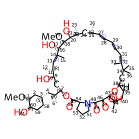 CO[C@@H]1C[C@H](C[C@@H](C)[C@@H]2CC(O)[C@H](C)/C=C(\C)[C@H](O)[C@@H](OC)C(O)[C@H](C)C[C@H](C)/C=C/C=C/C=C(\C)C(C)(C)C[C@@H]3CC[C@@H](C)[C@@](O)(O3)C(=O)C(=O)N3CCCC3C(=O)O2)CC[C@H]1O